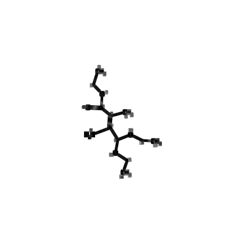 CCOC(=O)/C(C)=C(\N)C(OCC)OCC